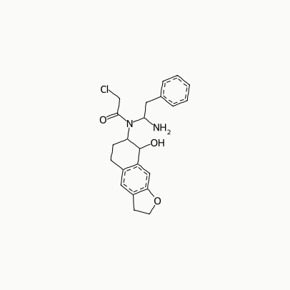 NC(Cc1ccccc1)N(C(=O)CCl)C1CCc2cc3c(cc2C1O)OCC3